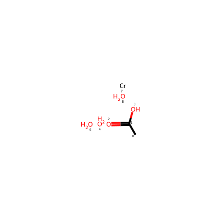 CC(=O)O.O.O.O.[Cr]